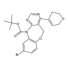 CC(C)(C)OC(=O)N1c2cc(Br)ccc2OCc2c(C3=CCOCC3)ncnc21